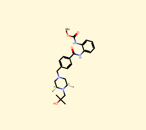 C[C@@H]1CN(Cc2ccc(C(=O)Nc3ccccc3NC(=O)OC(C)(C)C)cc2)C[C@H](C)N1CC(C)(C)O